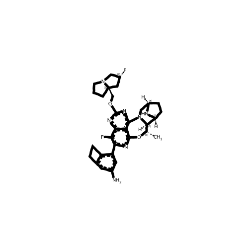 C[C@@H]1Oc2nc(-c3cc(N)cc4c3CC4)c(F)c3nc(OC[C@@]45CCCN4C[C@H](F)C5)nc(c23)N2C[C@H]3CC[C@H](N3)[C@@H]12